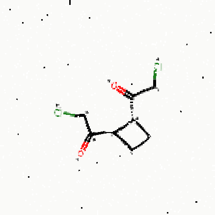 O=C(CCl)[C@@H]1CC[C@H]1C(=O)CCl